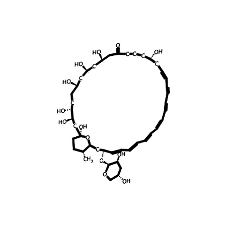 C[C@@H]1CC[C@@]2(O)C[C@@H](O)[C@H](O)CC[C@@H](O)C[C@@H](O)C[C@@H](O)CC(=O)CCC[C@H](O)C/C=C/C=C/C=C/C=C/C=C/C=C/C=C/[C@H](O[C@@H]3OC[C@@H](O)C[C@@H]3O)CC1O2